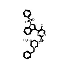 C[C@@H]1C[C@H](Nc2ncc(Cl)c(-c3cn(S(=O)(=O)c4ccccc4)c4ccccc34)n2)CN(Cc2ccccc2)C1